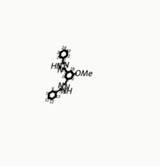 COc1cc(-c2n[nH]c(-c3ccccc3)n2)cc(-c2n[nH]c(-c3ccccc3)n2)c1